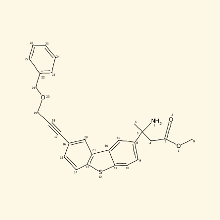 COC(=O)CC(C)(N)c1ccc2sc3ccc(C#CCOCc4ccccc4)cc3c2c1